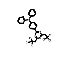 ClC(Cl)(Cl)Cc1nc(CC(Cl)(Cl)Cl)nc(-c2ccc(N(c3ccccc3)c3ccccc3)cc2)n1